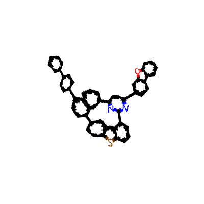 c1ccc(-c2ccc(-c3ccc(-c4ccc5sc6cccc(-c7nc(-c8ccccc8)cc(-c8ccc9c(c8)oc8ccccc89)n7)c6c5c4)cc3)cc2)cc1